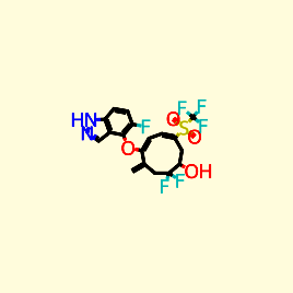 C=C1CC(F)(F)C(O)C/C(S(=O)(=O)C(F)(F)F)=C\C=C/1Oc1c(F)ccc2[nH]ncc12